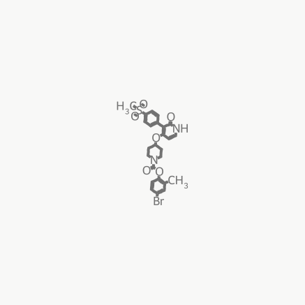 Cc1cc(Br)ccc1OC(=O)N1CCC(Oc2cc[nH]c(=O)c2-c2ccc(S(C)(=O)=O)cc2)CC1